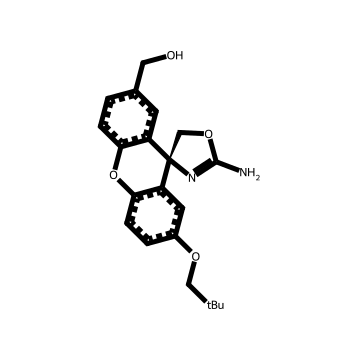 CC(C)(C)COc1ccc2c(c1)[C@]1(COC(N)=N1)c1cc(CO)ccc1O2